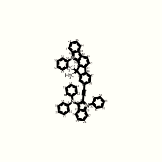 CC1(C)c2cc(C#Cc3c(N(c4ccccc4)c4ccccc4)c4ccccc4n3-c3ccccc3)ccc2-c2ccc3c4ccccc4n(-c4ccccc4)c3c21